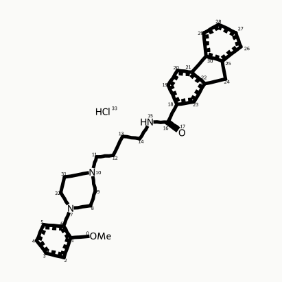 COc1ccccc1N1CCN(CCCCNC(=O)c2ccc3c(c2)Cc2ccccc2-3)CC1.Cl